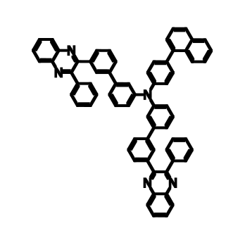 c1ccc(-c2nc3ccccc3nc2-c2cccc(-c3cccc(N(c4ccc(-c5cccc6ccccc56)cc4)c4cccc(-c5cccc(-c6nc7ccccc7nc6-c6ccccc6)c5)c4)c3)c2)cc1